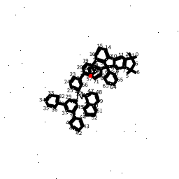 CC1(C)CC(C)(C)c2cc3c(cc21)-c1cccc(-c2ccc(-c4cccc(N(c5cc(-c6ccccc6)cc(-c6ccccc6)c5)c5cccc6ccccc56)c4)cc2)c1C3(c1ccccc1)c1ccccc1